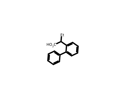 CCC(C(=O)O)c1ccccc1-c1ccccc1